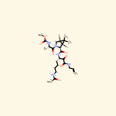 C=CCNC(=O)C(=O)[C@H](CCCCNC(=O)OC)NC(=O)[C@@H]1[C@@H]2[C@H](CN1C(=O)[C@H](CC)NC(=O)OC(C)(C)C)C2(C)C